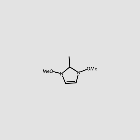 CON1C=CN(OC)C1C